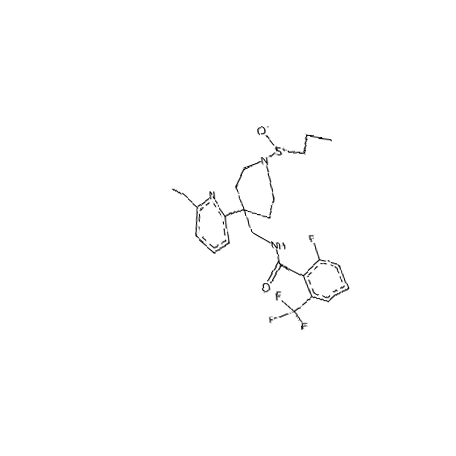 CCC[S+]([O-])N1CCC(CNC(=O)c2c(F)cccc2C(F)(F)F)(c2cccc(C)n2)CC1